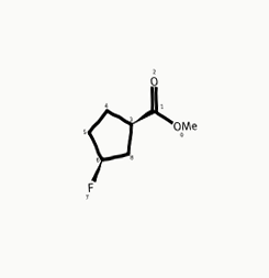 COC(=O)[C@@H]1CC[C@H](F)C1